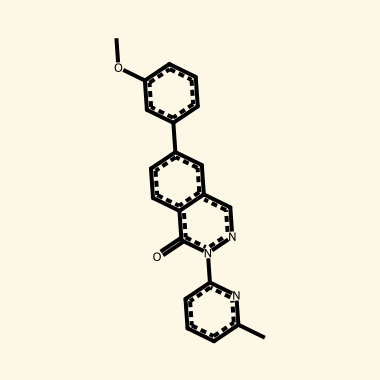 COc1cccc(-c2ccc3c(=O)n(-c4cccc(C)n4)ncc3c2)c1